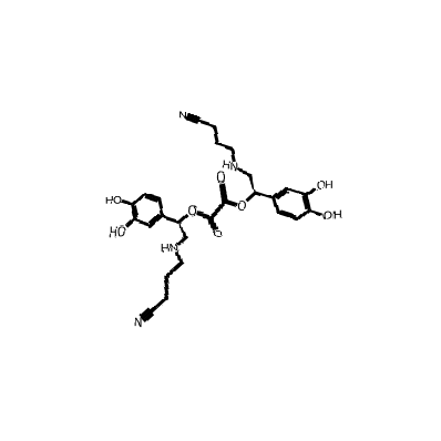 N#CCCCNC[C@H](OC(=O)C(=O)O[C@@H](CNCCCC#N)c1ccc(O)c(O)c1)c1ccc(O)c(O)c1